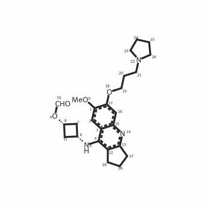 COc1cc2c(N[C@H]3C[C@@H](OC=O)C3)c3c(nc2cc1OCCCN1CCCC1)CCC3